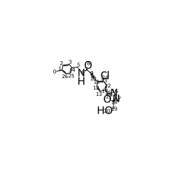 Cc1ccc(CNC(=O)C#Cc2ccc(-c3nnc(CO)o3)cc2Cl)cc1